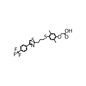 Cc1cc(SCCCc2nc(-c3ccc(C(F)(F)F)cc3)cs2)c(C)cc1OCC(=O)O